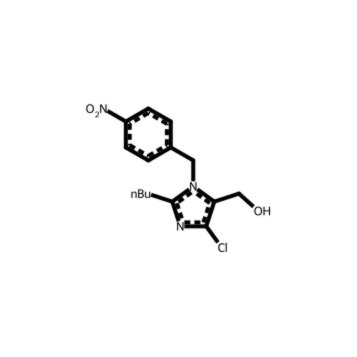 CCCCc1nc(Cl)c(CO)n1Cc1ccc([N+](=O)[O-])cc1